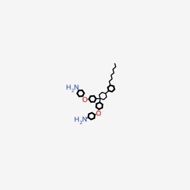 CCCCCCCc1cccc(C2CCC(c3ccc(Oc4ccc(N)cc4)cc3)(c3ccc(Oc4ccc(N)cc4)cc3)CC2)c1